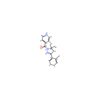 CC1=CCCC=C1C1=NN(C(=O)c2ccncc2)C(C)(C)C1